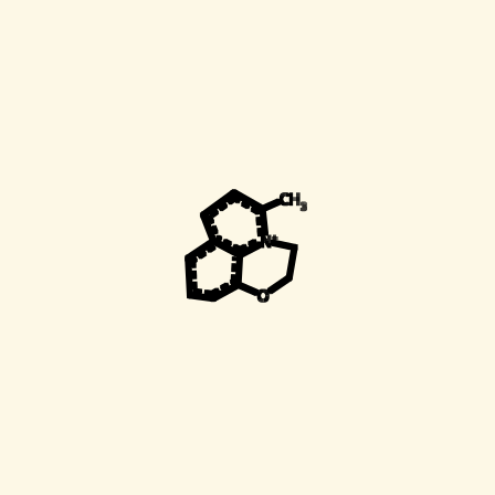 Cc1ccc2cccc3c2[n+]1CCO3